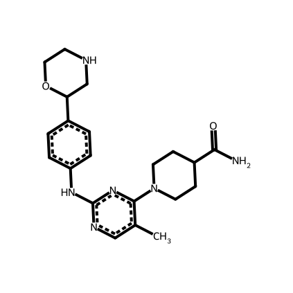 Cc1cnc(Nc2ccc(C3CNCCO3)cc2)nc1N1CCC(C(N)=O)CC1